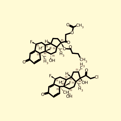 CCCC(=O)O[C@]1(C(=O)COC(C)=O)CC[C@H]2[C@@H]3C[C@H](F)C4=CC(=O)C=C[C@]4(C)[C@@]3(F)[C@@H](O)C[C@@]21C.C[C@H]1C[C@H]2[C@@H]3C[C@H](F)C4=CC(=O)C=C[C@]4(C)[C@@]3(F)[C@@H](O)C[C@]2(C)[C@@]1(O)C(=O)CCl